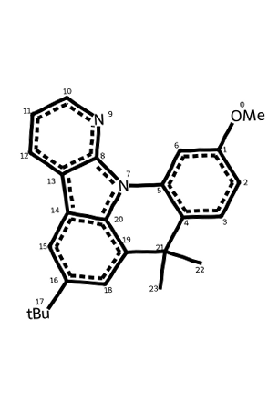 COc1ccc2c(c1)-n1c3ncccc3c3cc(C(C)(C)C)cc(c31)C2(C)C